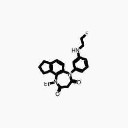 CCN1C(=O)CC(=O)N(c2cccc(NCCF)c2)c2ccc3c(c21)CCC3